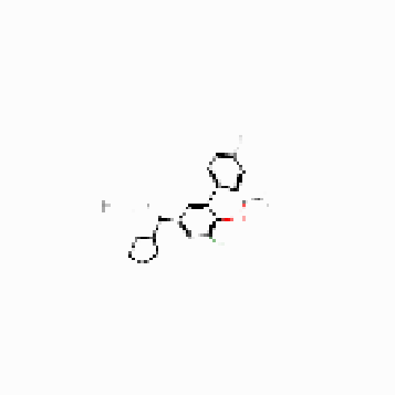 CCOC(=O)C(c1cc(Cl)c(OCC(F)(F)F)c(-c2ccc(C(F)(F)F)cc2)c1)C1CCCC1